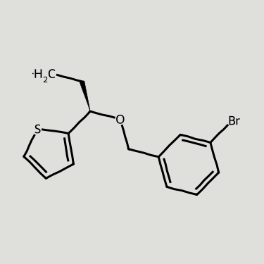 [CH2]C[C@@H](OCc1cccc(Br)c1)c1cccs1